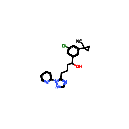 N#CC1(c2cc(Cl)cc(C(O)CCCc3ncnn3-c3ccccn3)c2)CC1